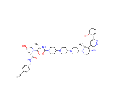 C#Cc1ccc(CNC(=O)[C@@H]2C[C@@H](O)CN2C(=O)[C@@H](NC(=O)N2CCC(N3CCC(N4CCC(N5CCc6[nH]c7nnc(-c8ccccc8O)cc7c6[C@H]5C)CC4)CC3)CC2)C(C)(C)C)cc1